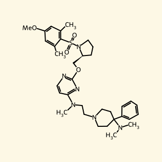 COc1cc(C)c(S(=O)(=O)N2CCC[C@H]2COc2nccc(N(C)CCN3CCC(c4ccccc4)(N(C)C)CC3)n2)c(C)c1